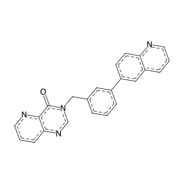 O=c1c2ncccc2ncn1Cc1cccc(-c2ccc3ncccc3c2)c1